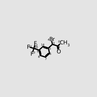 CC(=O)C(Br)c1cccc(C(F)(F)F)c1